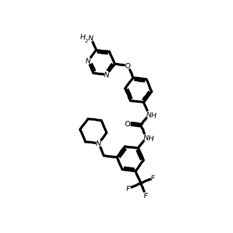 Nc1cc(Oc2ccc(NC(=O)Nc3cc(CN4CCCCC4)cc(C(F)(F)F)c3)cc2)ncn1